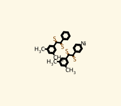 Cc1cc(C)cc(C(=S)C(=S)c2ccccc2)c1.Cc1cc(C)cc(C(=S)C(=S)c2ccccc2)c1.[Ni]